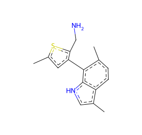 Cc1cc(-c2c(C)ccc3c(C)c[nH]c23)c(CN)s1